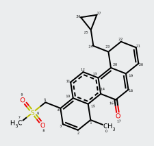 CC1C=CC(CS(C)(=O)=O)=c2ccc3c(c21)C(=O)C=C1C=CCC(CC2CC2)C=31